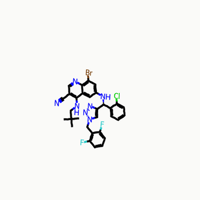 CC(C)(C)CNc1c(C#N)cnc2c(Br)cc(N[C@H](c3cn(Cc4c(F)cccc4F)nn3)c3ccccc3Cl)cc12